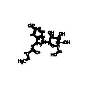 CCOC(=O)CC1CN([C@@H]2O[C@H](CO)[C@@H](O)[C@H](O)[C@H]2O)c2ccc(Cl)cc21